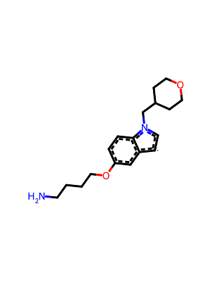 NCCCCOc1ccc2c([c]cn2CC2CCOCC2)c1